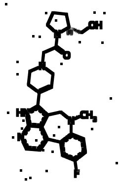 CN1Cc2c(C3=CCN(CC(=O)N4CCC[C@@H]4CO)CC3)[nH]c3nccc(c23)-c2cc(F)ccc21